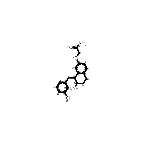 NC(=O)COc1ccc2c(c1)C(Cc1cccc(Cl)c1)C(N)CC2